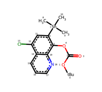 CC(C)(C)OC(=O)Oc1[c]([Sn]([CH3])([CH3])[CH3])cc(Cl)c2cccnc12